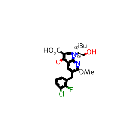 CC[C@H](C)[C@@H](CO)n1cc(C(=O)O)c(=O)c2cc(Cc3cccc(Cl)c3F)c(OC)nc21